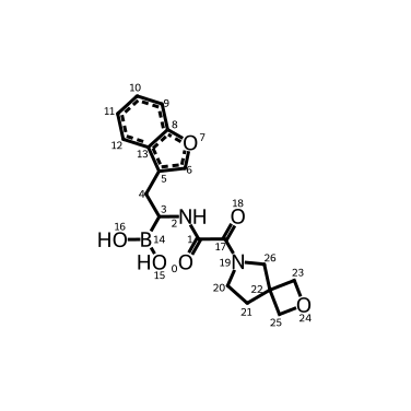 O=C(NC(Cc1coc2ccccc12)B(O)O)C(=O)N1CCC2(COC2)C1